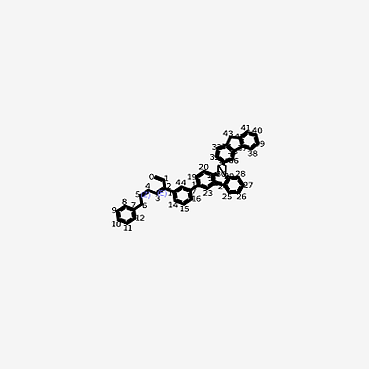 C=C/C(=C\C=C/Cc1ccccc1)c1cccc(-c2ccc3c(c2)c2ccccc2n3-c2ccc3c(c2)-c2ccccc2C3)c1